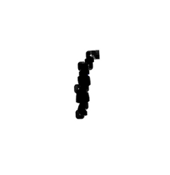 N#CCCOC(=O)/C=C/c1ccc(OC(=O)c2ccc(OCC3CO3)cc2)cc1